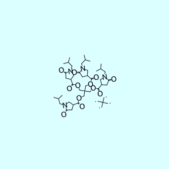 CC(C)CN1CC(C(=O)OCC(COC(=O)C2CC(=O)N(CC(C)C)C2)(COC(=O)C2CC(=O)N(CC(C)C)C2)COC(=O)C2CC(=O)N(CC(C)C)C2)CC1=O.[CH2]C([CH2])([CH2])[CH2]